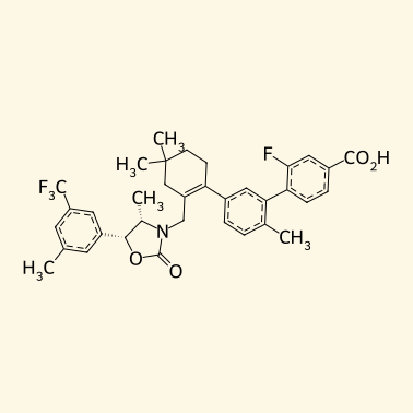 Cc1cc([C@H]2OC(=O)N(CC3=C(c4ccc(C)c(-c5ccc(C(=O)O)cc5F)c4)CCC(C)(C)C3)[C@H]2C)cc(C(F)(F)F)c1